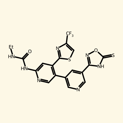 CCNC(=O)Nc1cc(-c2nc(C(F)(F)F)cs2)c(-c2cncc(-c3noc(=S)[nH]3)c2)cn1